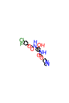 O=C(COc1ccn2nccc2c1)NC12CCC(NC(=O)COc3ccc(Cl)c(F)c3)(CC1)C(O)C2